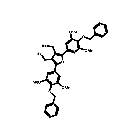 COc1cc(-c2oc(-c3cc(OC)c(OCc4ccccc4)c(OC)c3)c(CC(C)C)c2CC(C)C)cc(OC)c1OCc1ccccc1